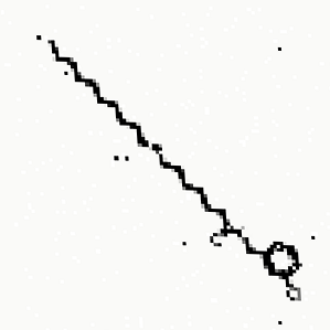 CCCCCCCCCCCCCCCCCC(=O)OCc1cccc(Cl)c1